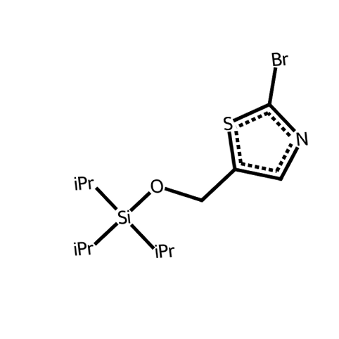 CC(C)[Si](OCc1cnc(Br)s1)(C(C)C)C(C)C